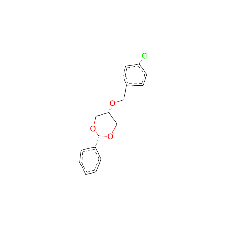 Clc1ccc(CO[C@H]2CO[C@@H](c3ccccc3)OC2)cc1